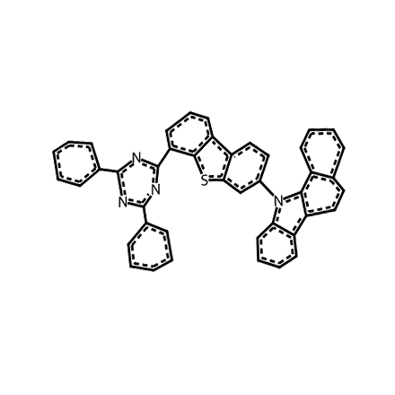 c1ccc(-c2nc(-c3ccccc3)nc(-c3cccc4c3sc3cc(-n5c6ccccc6c6ccc7ccccc7c65)ccc34)n2)cc1